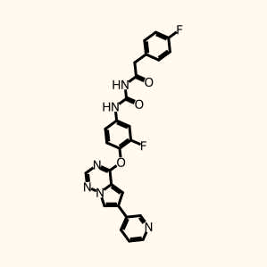 O=C(Cc1ccc(F)cc1)NC(=O)Nc1ccc(Oc2ncnn3cc(-c4cccnc4)cc23)c(F)c1